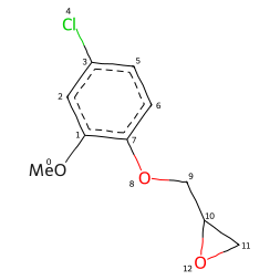 COc1cc(Cl)ccc1OCC1CO1